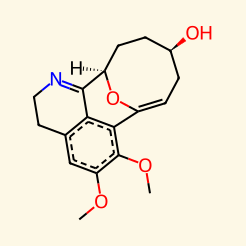 COc1cc2c3c(c1OC)/C1=C/C[C@H](O)CC[C@@H](O1)C3=NCC2